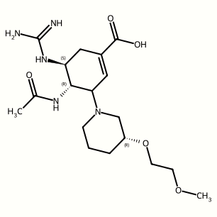 COCCO[C@@H]1CCCN(C2C=C(C(=O)O)C[C@H](NC(=N)N)[C@H]2NC(C)=O)C1